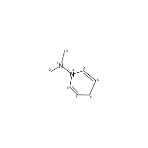 CN(C)N1C=CCC=C1